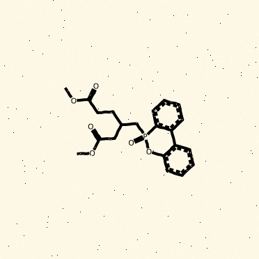 COC(=O)CCC(CC(=O)OC)CP1(=O)Oc2ccccc2-c2ccccc21